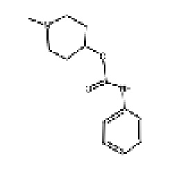 CN1CCC(OC(=O)Nc2ccccc2)CC1